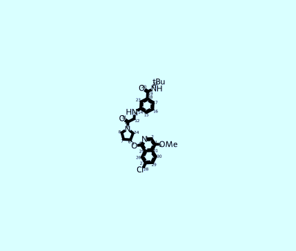 COc1cnc(O[C@@H]2CCN(C(=O)CNc3cccc(C(=O)NC(C)(C)C)c3)C2)c2cc(Cl)ccc12